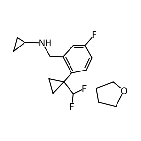 C1CCOC1.Fc1ccc(C2(C(F)F)CC2)c(CNC2CC2)c1